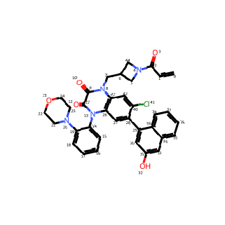 C=CC(=O)N1CC(Cn2c(=O)c(=O)n(-c3ccccc3N3CCOCC3)c3cc(-c4cc(O)cc5ccccc45)c(Cl)cc32)C1